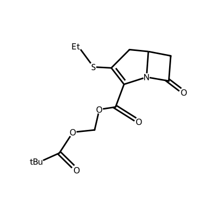 CCSC1=C(C(=O)OCOC(=O)C(C)(C)C)N2C(=O)CC2C1